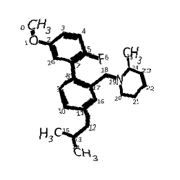 COc1ccc(F)c(-c2ccc(CC(C)C)cc2CN2CCCC[C@@H]2C)c1